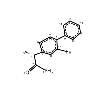 C[C@@H](C(=O)P)c1ccc(-c2ccccc2)c(F)c1